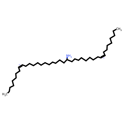 CCCCCCCC/C=C\CCCCCCCCCCCC(N)CCCCCCCC/C=C\CCCCCCCC